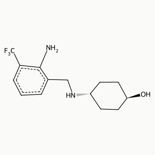 Nc1c(CN[C@H]2CC[C@H](O)CC2)cccc1C(F)(F)F